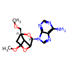 COC[C@]12CC3(OC)OC(C31)[C@H](n1cnc3c(N)ncnc31)O2